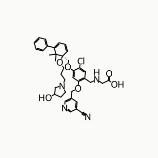 CC1(C)C(c2ccccc2)=CC=C[C@@]1(COc1cc(OCc2cncc(C#N)c2)c(CNCC(=O)O)cc1Cl)OCCCN1CCC(O)C1